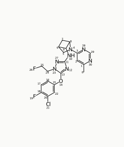 Cc1cc(N2CC3CC2C3Nc2nc(Oc3ccc(F)c(Cl)c3)n(CCF)n2)ncn1